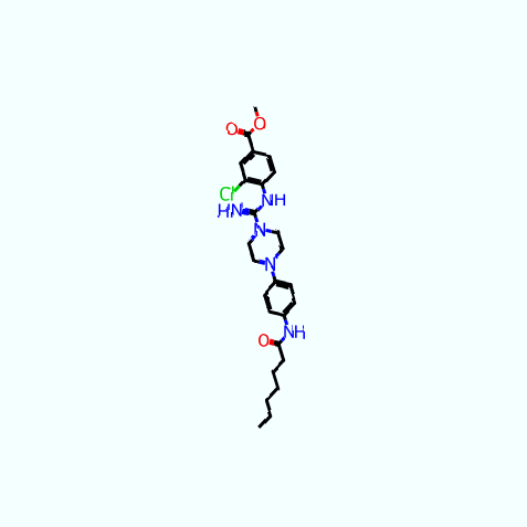 CCCCCCC(=O)Nc1ccc(N2CCN(C(=N)Nc3ccc(C(=O)OC)cc3Cl)CC2)cc1